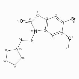 COc1cc2c(cc1Br)oc(=O)n2CCN1CCCC1